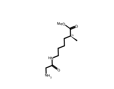 COC(=O)[C@@H](C)CCCCNC(=O)CN